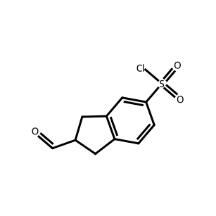 O=CC1Cc2ccc(S(=O)(=O)Cl)cc2C1